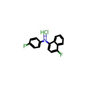 Cl.Fc1ccc(Nc2ccc(F)c3ccccc23)cc1